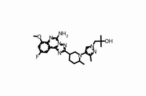 COc1cc(F)cc2c1nc(N)n1nc(C3CCC(C)N(c4cn(CC(C)(C)O)nc4C)C3)nc21